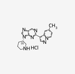 Cc1ccn2ncc(-c3ncc4ncn([C@H]5CCCNC5)c4n3)c2c1.Cl